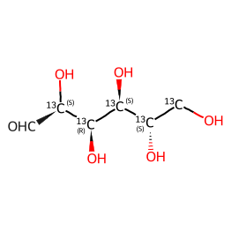 O=[13CH][13C@@H](O)[13C@H](O)[13C@@H](O)[13C@@H](O)[13CH2]O